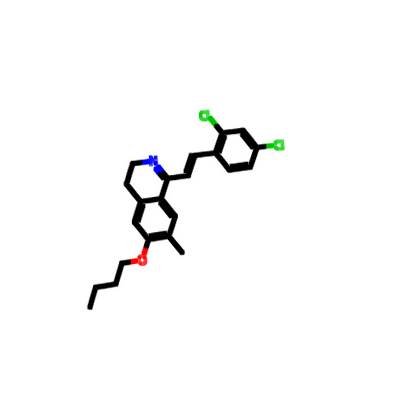 CCCCOc1cc2c(cc1C)C(C=Cc1ccc(Cl)cc1Cl)=NCC2